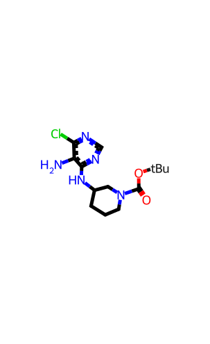 CC(C)(C)OC(=O)N1CCCC(Nc2ncnc(Cl)c2N)C1